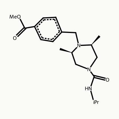 COC(=O)c1ccc(CN2[C@H](C)CN(C(=O)NC(C)C)C[C@@H]2C)cc1